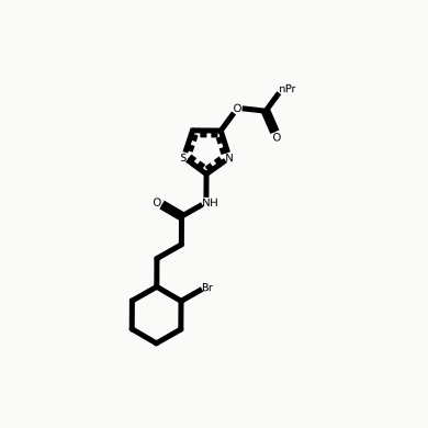 CCCC(=O)Oc1csc(NC(=O)CCC2CCCCC2Br)n1